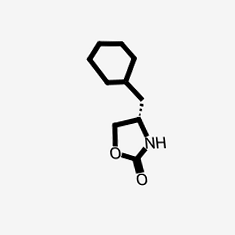 O=C1N[C@@H](CC2CCCCC2)CO1